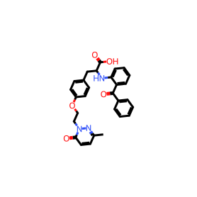 Cc1ccc(=O)n(CCOc2ccc(CC(Nc3ccccc3C(=O)c3ccccc3)C(=O)O)cc2)n1